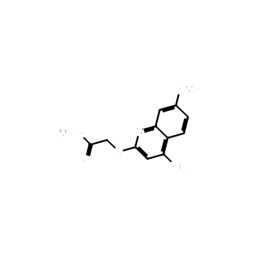 COC(=O)CSc1cc(C(F)(F)F)c2ccc(OC)cc2n1